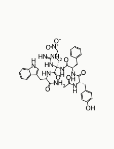 CC(=O)N[C@@H](Cc1ccc(O)cc1)C(=O)N[C@H](Cc1ccccc1)C(=O)N[C@](CCC[N+](=O)[O-])(NC(=N)N)C(=O)NC(Cc1c[nH]c2ccccc12)C(N)=O